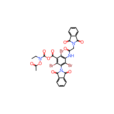 CCN(OC(C)=O)C(=O)OC(=O)c1c(Br)c(NC(=O)CN2C(=O)c3ccccc3C2=O)c(Br)c(N2C(=O)c3ccccc3C2=O)c1Br